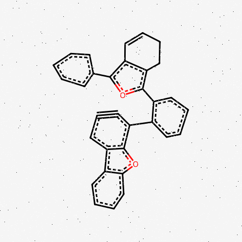 c1cc2c(oc3ccccc32)c(-c2ccccc2-c2oc(-c3ccccc3)c3c2CCC=C3)c#1